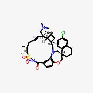 CO[C@@]1(CN(C)C)/C=C/C[C@H](C)[C@@H](C)S(=O)(=O)NC(=O)c2ccc3c(c2)N(C[C@@H]2CC[C@H]21)C[C@@]1(CCCc2cc(Cl)ccc21)CO3